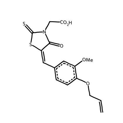 C=CCOc1ccc(C=C2SC(=S)N(CC(=O)O)C2=O)cc1OC